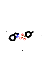 Cc1ccc(S(=O)(=O)On2ccc3ccccc32)cc1